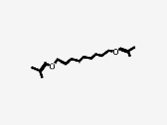 CC(C)=COCCCCCCCCCOC=C(C)C